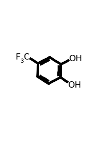 Oc1ccc(C(F)(F)F)cc1O